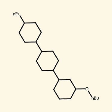 CCCCOC1CCCC(C2CCC(C3CCC(CCC)CC3)CC2)C1